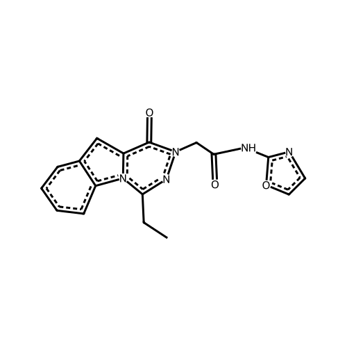 CCc1nn(CC(=O)Nc2ncco2)c(=O)c2cc3ccccc3n12